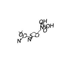 CCc1c(CCN2C[C@H](O)C[C@H]2C(=O)O)cccc1-c1cnc(-c2ccc(OC(C)C)c(C#N)c2)s1